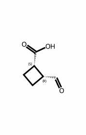 O=C[C@@H]1CC[C@@H]1C(=O)O